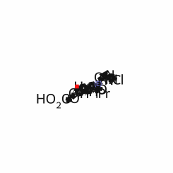 C/C(=C\[C@@]12CC[C@]3(C)[C@H](CC[C@@H]4[C@@]5(C)CC[C@H](OC(=O)CC(C)(C)C(=O)O)C(C)(C)[C@@H]5CC[C@]43C)C1=C(C(C)C)C(=O)C2)C(=O)NC1(c2ncc(Cl)cn2)CC1